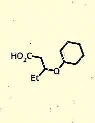 CCC(CC(=O)O)OC1CCCCC1